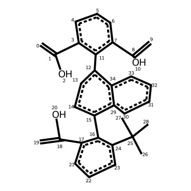 C=C(O)c1cccc(C(=C)O)c1-c1ccc(-c2c(C(=C)O)cccc2C(C)(C)C)c2ccccc12